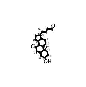 C[C@H](CCC=O)C1CCC2C3C(=O)CC4C[C@H](O)CC[C@]4(C)C3CC[C@@]21C